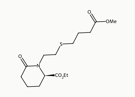 CCOC(=O)[C@H]1CCCC(=O)N1CCSCCCC(=O)OC